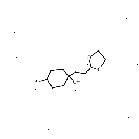 CC(C)C1CCC(O)(CCC2OCCO2)CC1